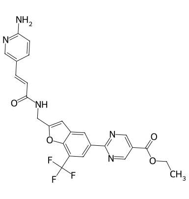 CCOC(=O)c1cnc(-c2cc(C(F)(F)F)c3oc(CNC(=O)/C=C/c4ccc(N)nc4)cc3c2)nc1